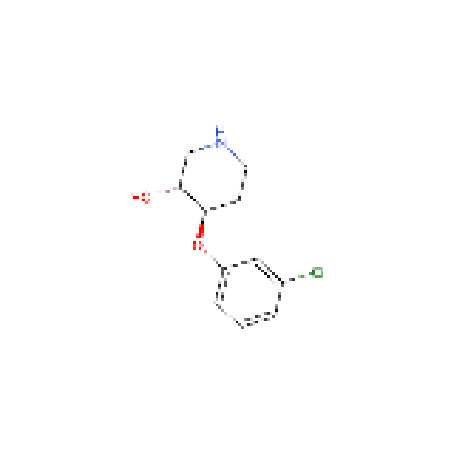 O[C@@H]1CNCC[C@H]1Oc1cccc(Cl)c1